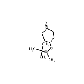 C[SiH](OC1CCC(=O)CC1)C(C)(C)C